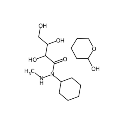 CNN(C(=O)C(O)C(O)CO)C1CCCCC1.OC1CCCCO1